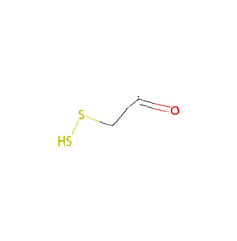 O=[C]CSS